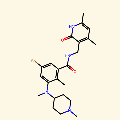 Cc1cc(C)c(CNC(=O)c2cc(Br)cc(N(C)C3CCN(C)CC3)c2C)c(=O)[nH]1